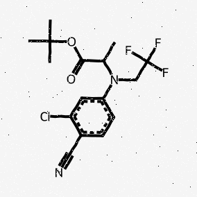 CC(C(=O)OC(C)(C)C)N(CC(F)(F)F)c1ccc(C#N)c(Cl)c1